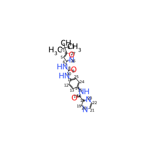 CC(C)(C)c1cc(NC(=O)Nc2ccc(NC(=O)c3cnccn3)cc2)no1